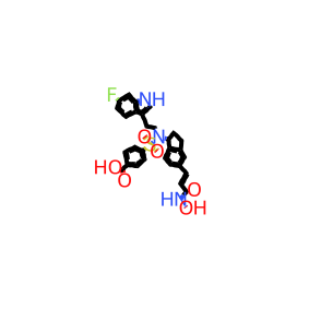 O=C(/C=C/c1ccc2c(c1)CCC2N(CCc1c[nH]c2cc(F)ccc12)S(=O)(=O)c1ccc(C(=O)O)cc1)NO